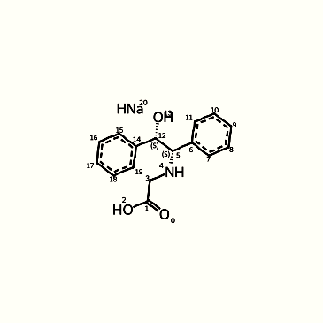 O=C(O)CN[C@@H](c1ccccc1)[C@@H](O)c1ccccc1.[NaH]